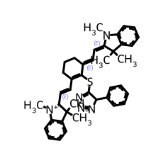 CN1/C(=C/C=C2\CCCC(/C=C/C3=[N+](C)c4ccccc4C3(C)C)=C2SC2=NN=NC2c2ccccc2)C(C)(C)c2ccccc21